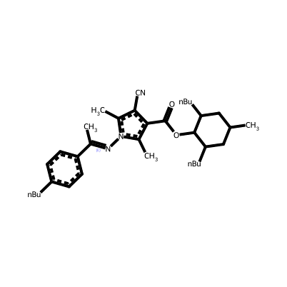 CCCCc1ccc(/C(C)=N/n2c(C)c(C#N)c(C(=O)OC3C(CCCC)CC(C)CC3CCCC)c2C)cc1